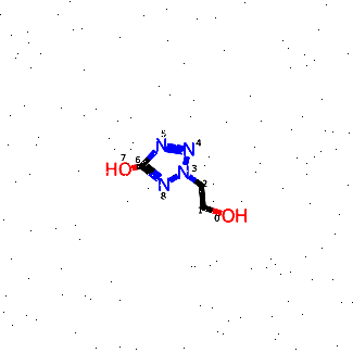 OCCn1nnc(O)n1